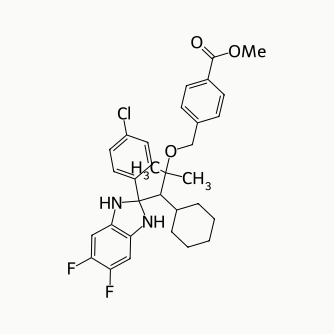 COC(=O)c1ccc(COC(C)(C)C(C2CCCCC2)C2(c3ccc(Cl)cc3)Nc3cc(F)c(F)cc3N2)cc1